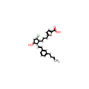 C=CCCc1cccc(/C=C/[C@H]2C(O)C[C@@H](Cl)C2CCCc2ccc(C(=O)O)s2)c1